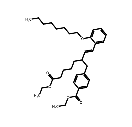 CCCCCCCCOc1ccccc1/C=C/C(CCCCC(=O)OCC)Cc1ccc(C(=O)OCC)cc1